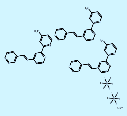 Cc1ccnc(-c2cc(C=Cc3ccncc3)ccn2)c1.Cc1ccnc(-c2cc(C=Cc3ccncc3)ccn2)c1.Cc1ccnc(-c2cc(C=Cc3ccncc3)ccn2)c1.F[P-](F)(F)(F)(F)F.F[P-](F)(F)(F)(F)F.[Os+2]